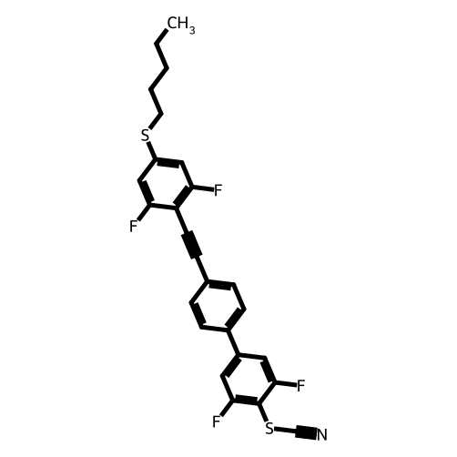 CCCCCSc1cc(F)c(C#Cc2ccc(-c3cc(F)c(SC#N)c(F)c3)cc2)c(F)c1